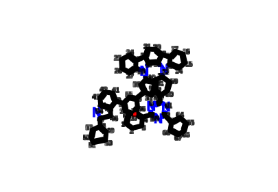 C1=CCCC(c2nc(C3=CCC(n4c5ccccc5c5ccc6c7ccccc7n(-c7cccc(-c8cccc(-c9cccc%10c9CC(c9ccccc9)=N%10)c8)c7)c6c54)C=C3)nc(-c3ccccc3)n2)=C1